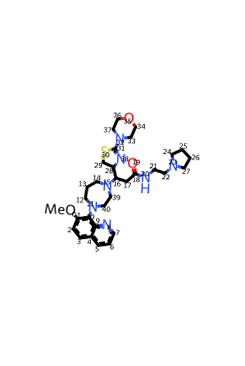 COc1ccc2cccnc2c1N1CCCN(C(CC(=O)NCCN2CCCC2)C2CSC(N3CCOCC3)=N2)CC1